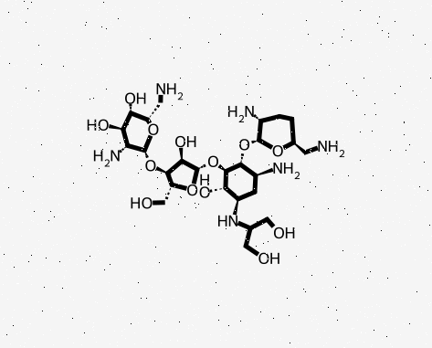 NC[C@@H]1CC[C@@H](N)[C@@H](O[C@H]2[C@H](O[C@@H]3O[C@H](CO)[C@@H](O[C@H]4O[C@@H](CN)[C@@H](O)[C@H](O)[C@H]4N)[C@H]3O)[C@@H](O)[C@H](NC(CO)CO)C[C@@H]2N)O1